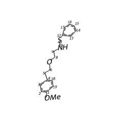 COc1ccc(CCOCCNSc2ccccc2)cc1